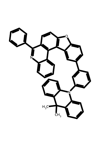 CC1(C)c2ccccc2N(c2cccc(-c3ccc4oc5ccc6c(-c7ccccc7)nc7ccccc7c6c5c4c3)c2)c2ccccc21